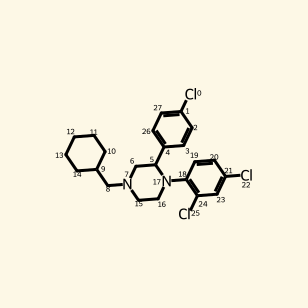 Clc1ccc(C2CN(CC3CCCCC3)CCN2c2ccc(Cl)cc2Cl)cc1